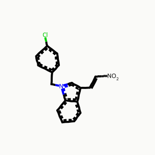 O=[N+]([O-])C=Cc1cn(Cc2ccc(Cl)cc2)c2ccccc12